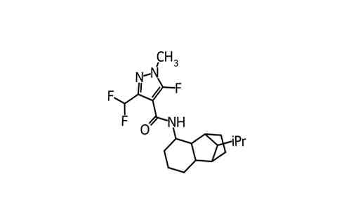 CC(C)C1C2CCC1C1C(NC(=O)c3c(C(F)F)nn(C)c3F)CCCC21